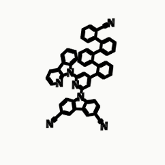 N#Cc1ccc2c(c1)c1cc(C#N)ccc1n2-c1cc(-c2ccccc2-c2ccccc2-c2ccccc2-c2ccccc2C#N)cc(-n2c3ccccc3c3cccnc32)n1